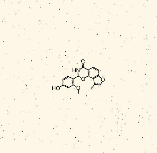 COc1cc(O)ccc1C1NC(=O)c2ccc3occ(C)c3c2O1